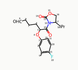 Cc1cc(OC(CCCC=O)C(=O)N2C(=O)OCC2C(C)C)ccc1F